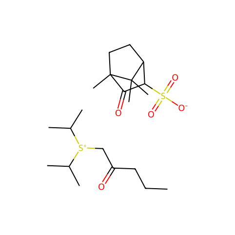 CC12CCC(C(S(=O)(=O)[O-])C1=O)C2(C)C.CCCC(=O)C[S+](C(C)C)C(C)C